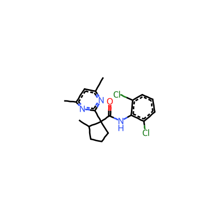 Cc1cc(C)nc(C2(C(=O)Nc3c(Cl)cccc3Cl)CCCC2C)n1